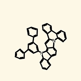 c1ccc(-c2cc(-c3ccccc3)cc(-n3c4ccccc4c4ccc5c(cc6c7ccccc7c7ccccc7n65)c43)c2)cc1